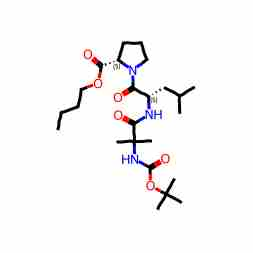 CCCCOC(=O)[C@@H]1CCCN1C(=O)[C@H](CC(C)C)NC(=O)C(C)(C)NC(=O)OC(C)(C)C